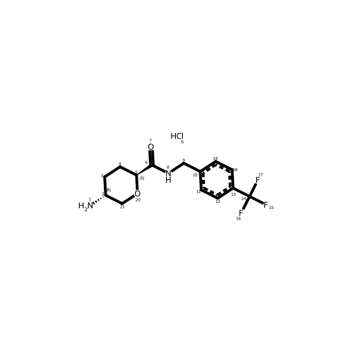 Cl.N[C@@H]1CC[C@@H](C(=O)NCc2ccc(C(F)(F)F)cc2)OC1